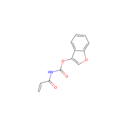 C=CC(=O)NC(=O)Oc1coc2ccccc12